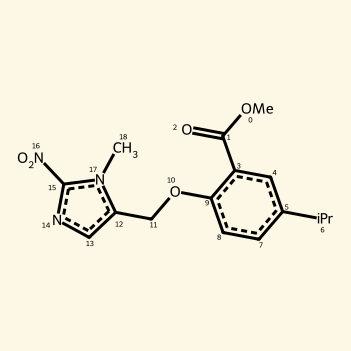 COC(=O)c1cc(C(C)C)ccc1OCc1cnc([N+](=O)[O-])n1C